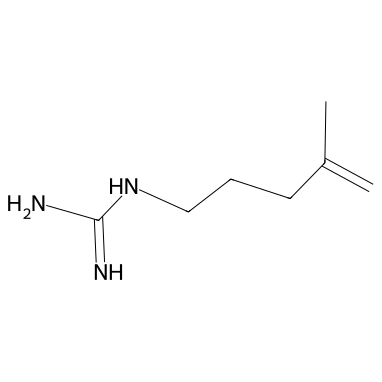 C=C(C)CCCNC(=N)N